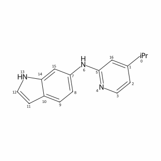 CC(C)c1ccnc(Nc2ccc3cc[nH]c3c2)c1